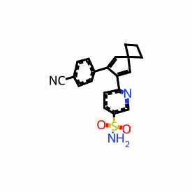 N#Cc1ccc(C2=CC3(C=C2c2ccc(S(N)(=O)=O)cn2)CCC3)cc1